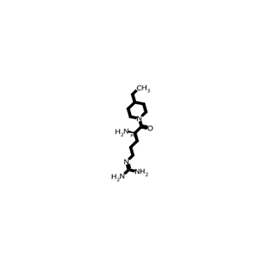 CCC1CCN(C(=O)[C@H](N)CCCN=C(N)N)CC1